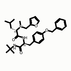 CC(C)C[C@@H](C(=O)N[C@@H](Cc1ccc(OCc2ccccc2)cc1)C(=O)NC(C)(C)C)N(C)Cc1ccco1